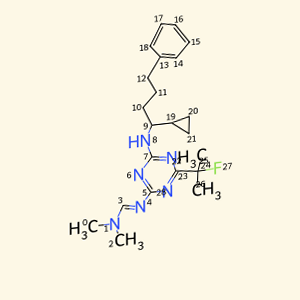 CN(C)C=Nc1nc(NC(CCCc2ccccc2)C2CC2)nc(C(C)(C)F)n1